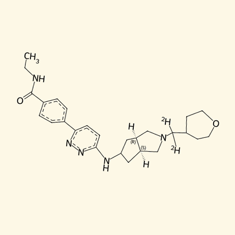 [2H]C([2H])(C1CCOCC1)N1C[C@H]2CC(Nc3ccc(-c4ccc(C(=O)NCC)cc4)nn3)C[C@H]2C1